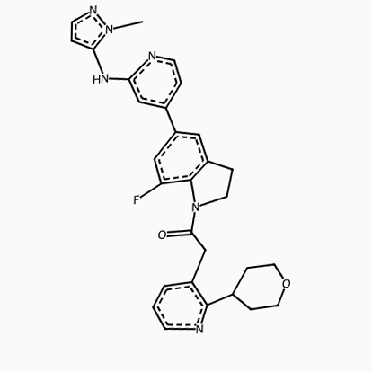 Cn1nccc1Nc1cc(-c2cc(F)c3c(c2)CCN3C(=O)Cc2cccnc2C2CCOCC2)ccn1